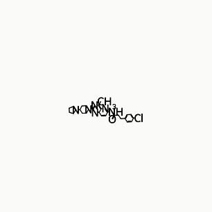 Cc1nc(N2CCC(N3CCCC3)CC2)nc2ccc(NC(=O)CCc3ccc(Cl)cc3)nc12